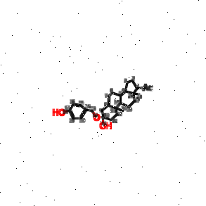 CC(=O)C1CCC2C3CC=C4CC(O)(OCc5ccc(O)cc5)CCC4(C)C3CCC12C